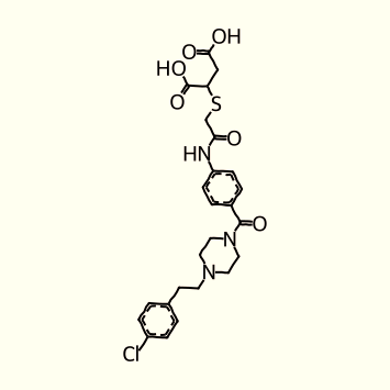 O=C(O)CC(SCC(=O)Nc1ccc(C(=O)N2CCN(CCc3ccc(Cl)cc3)CC2)cc1)C(=O)O